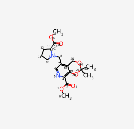 COC(=O)c1ncc(CN2CCC[C@H]2C(=O)OC)c2c1OC(C)(C)OC2